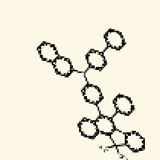 CC1(C)c2ccccc2-c2c(-c3ccccc3)c(-c3ccc(N(c4ccc(-c5ccccc5)cc4)c4ccc5ccccc5c4)cc3)c3ccccc3c21